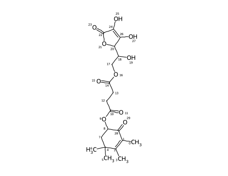 CC1=C(C)C(C)(C)CC(OC(=O)CCC(=O)OCC(O)C2OC(=O)C(O)=C2O)C1=O